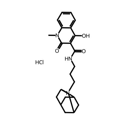 Cl.Cn1c(=O)c(C(=O)NCCCN2C3CC4CC(C3)CC2C4)c(O)c2ccccc21